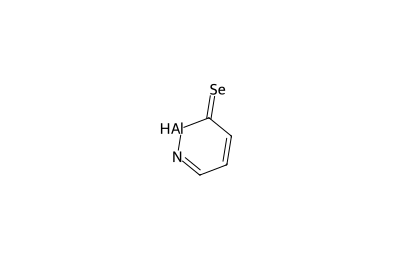 [Se]=[C]1C=CC=[N][AlH]1